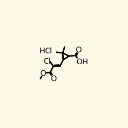 COC(=O)C(Cl)=CC1C(C(=O)O)C1(C)C.Cl